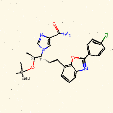 C[C@H](O[Si](C)(C)C(C)(C)C)[C@@H](CCc1cccc2nc(-c3ccc(Cl)cc3)oc12)n1cnc(C(N)=O)c1